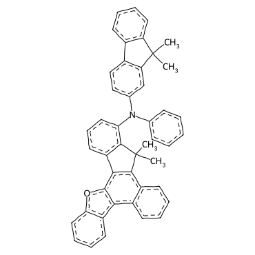 CC1(C)c2ccccc2-c2ccc(N(c3ccccc3)c3cccc4c3C(C)(C)c3c-4c4oc5ccccc5c4c4ccccc34)cc21